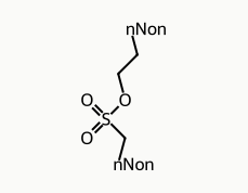 CCCCCCCCCCCOS(=O)(=O)CCCCCCCCCC